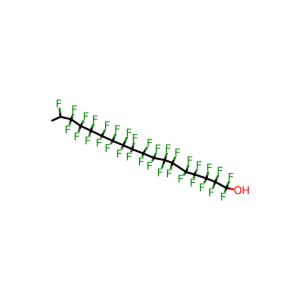 CC(F)C(F)(F)C(F)(F)C(F)(F)C(F)(F)C(F)(F)C(F)(F)C(F)(F)C(F)(F)C(F)(F)C(F)(F)C(F)(F)C(F)(F)C(F)(F)C(F)(F)C(F)(F)C(O)(F)F